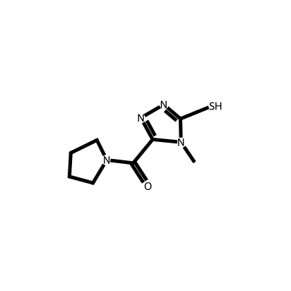 Cn1c(S)nnc1C(=O)N1CCCC1